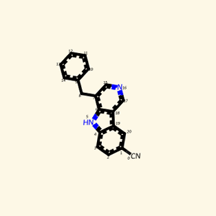 N#Cc1ccc2[nH]c3c(Cc4ccccc4)cncc3c2c1